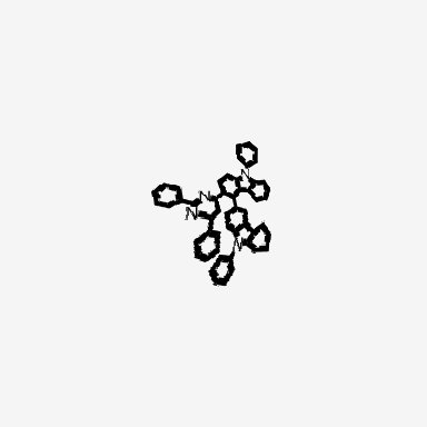 c1ccc(-c2cc(-c3ccc4c(c3-c3ccc5c(c3)c3ccccc3n5-c3ccccc3)c3ccccc3n4-c3ccccc3)nc(-c3ccccc3)n2)cc1